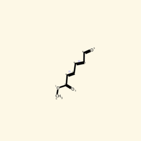 COC(=O)/C=C/C=C/C=O